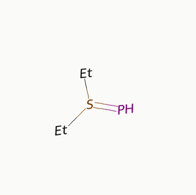 CCS(=P)CC